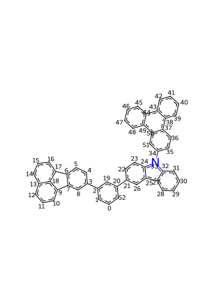 c1cc(-c2ccc3c(c2)-c2cccc4cccc-3c24)cc(-c2ccc3c(c2)c2ccccc2n3-c2ccc3c4ccccc4c4ccccc4c3c2)c1